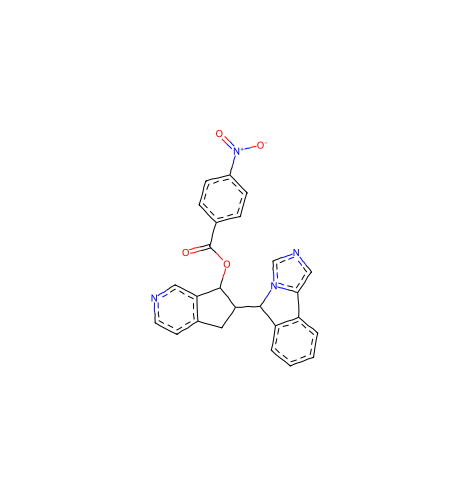 O=C(OC1c2cnccc2CC1C1c2ccccc2-c2cncn21)c1ccc([N+](=O)[O-])cc1